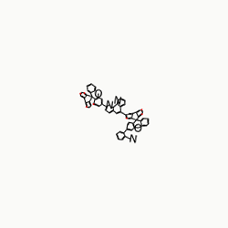 N#Cc1ccccc1-c1ccc2c(c1)Oc1ccccc1C21c2ccccc2-c2cc(-c3cc4ccc(-c5ccc6c(c5)Oc5ccccc5C65c6ccccc6-c6ccccc65)nc4c4ncccc34)ccc21